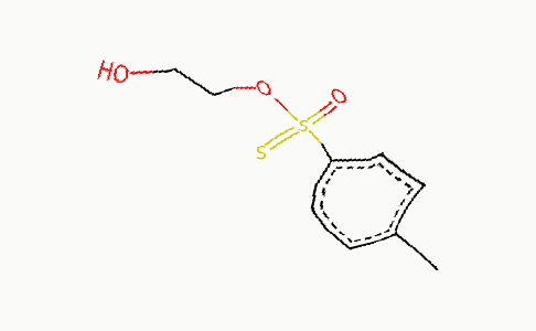 Cc1ccc(S(=O)(=S)OCCO)cc1